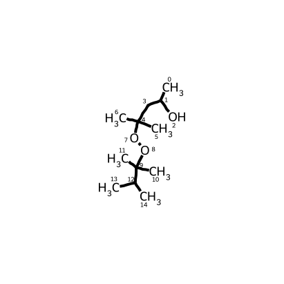 CC(O)CC(C)(C)OOC(C)(C)C(C)C